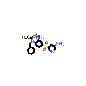 C=C(N(CC1CCCCC1)c1ccc(S(=O)(=O)c2cncc(N)c2)cc1N)C(C)(C)C